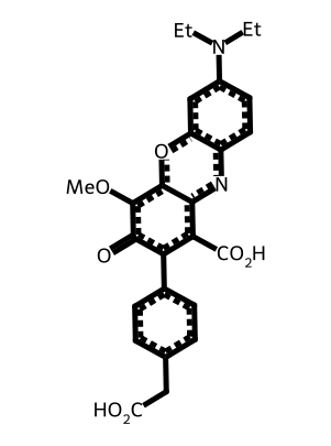 CCN(CC)c1ccc2nc3c(C(=O)O)c(-c4ccc(CC(=O)O)cc4)c(=O)c(OC)c-3oc2c1